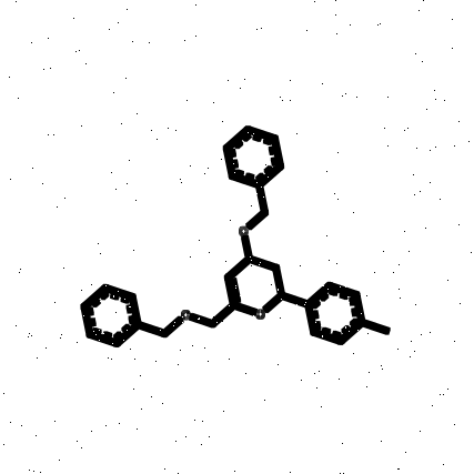 Cc1ccc(C2CC(OCc3ccccc3)C=C(COCc3ccccc3)O2)cc1